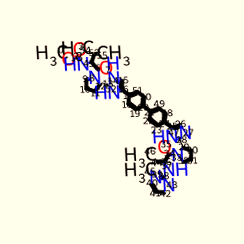 COC(=O)N[C@H](C(=O)N1CCC[C@H]1C1NC=C(c2ccc(-c3ccc(-c4cnc([C@@H]5CCCN5C(=O)[C@@H](Nc5ncccn5)C(C)C)[nH]4)cc3)cc2)N1)C(C)C